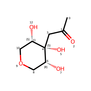 CC(=O)C[C@@]1(O)[C@H](O)COC[C@@H]1O